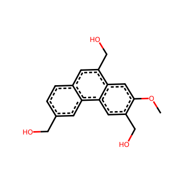 COc1cc2c(CO)cc3ccc(CO)cc3c2cc1CO